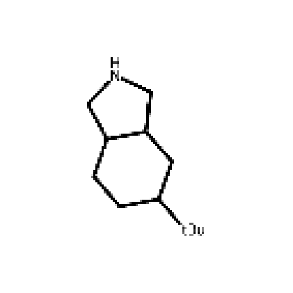 CC(C)(C)C1CCC2CNCC2C1